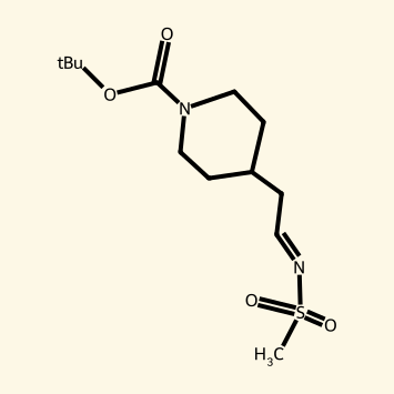 CC(C)(C)OC(=O)N1CCC(CC=NS(C)(=O)=O)CC1